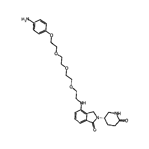 Nc1ccc(OCCOCCOCCOCCNc2cccc3c2CN([C@H]2CCC(=O)NC2)C3=O)cc1